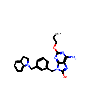 COCCOc1nc(N)c2nc(O)n(Cc3cccc(CN4CCc5ccccc54)c3)c2n1